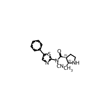 C[C@@H]1NCC[C@@H]1C(=O)N(C#N)c1ncc(-c2ccccc2)s1